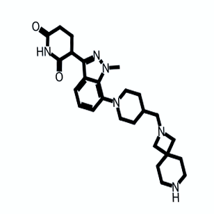 Cn1nc(C2CCC(=O)NC2=O)c2cccc(N3CCC(CN4CC5(CCNCC5)C4)CC3)c21